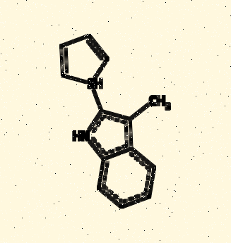 Cc1c([SH]2C=CC=C2)[nH]c2ccccc12